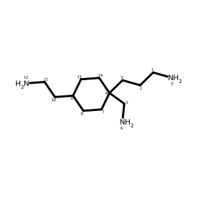 NCCCC1(CN)CCC(CCN)CC1